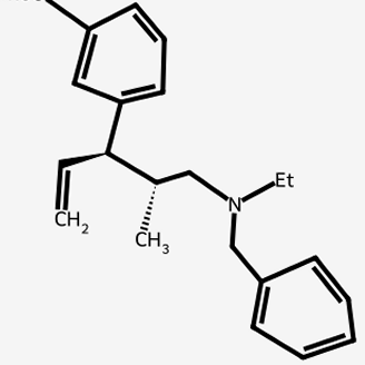 C=C[C@@H](c1cccc(OC)c1)[C@@H](C)CN(CC)Cc1ccccc1